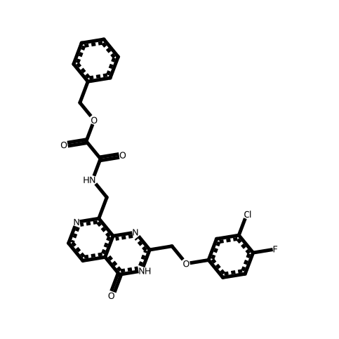 O=C(NCc1nccc2c(=O)[nH]c(COc3ccc(F)c(Cl)c3)nc12)C(=O)OCc1ccccc1